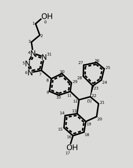 OCCCn1nnc(-c2ccc(C3c4ccc(O)cc4CC[C@@H]3c3ccccc3)cc2)n1